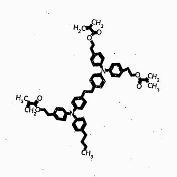 C=C(C)C(=O)OCCc1ccc(N(c2ccc(CCCC)cc2)c2ccc(CCc3ccc(N(c4ccc(CCOC(=O)C(=C)C)cc4)c4ccc(CCOC(=O)C(=C)C)cc4)cc3)cc2)cc1